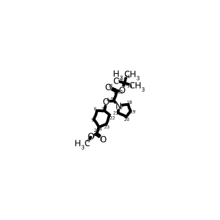 COC(=O)C1CCC(OC(C(=O)OC(C)(C)C)N2CCCC2)CC1